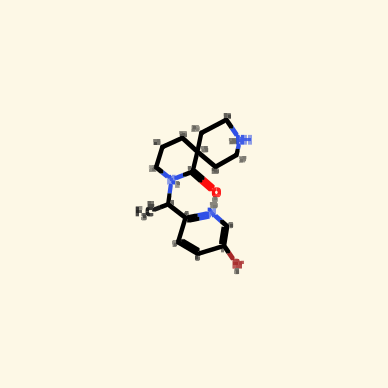 O=C1N(C(c2ccc(Br)cn2)C(F)(F)F)CCCC12CCNCC2